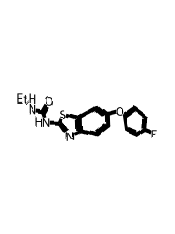 CCNC(=O)Nc1nc2ccc(Oc3ccc(F)cc3)cc2s1